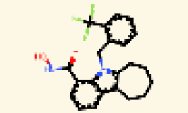 O=C(NO)c1cccc2c3c(n(Cc4ccccc4C(F)(F)F)c12)CCCCC3